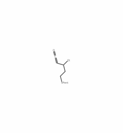 CCCCCCCC(C=C=O)CC